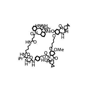 COc1cc2c(cc1OCCCCCOc1cc3c(cc1OC)C(=O)N1CC4(CC4)C[C@H]1C(O)N3C(=O)OCc1ccc(NC(=O)[C@H](C)NC(=O)[C@@H](NC(=O)CCCCNC(=O)CCC(=O)N3Cc4ccccc4C4=C(NNN4C(C)C)c4ccccc43)C(C)C)cc1)NC[C@@H]1CC3(CC3)CN1C2=O